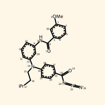 COc1cccc(C(=O)Nc2cccc(N(CCC(C)C)c3ccc(C(=O)N=[N+]=[N-])cc3)c2)c1